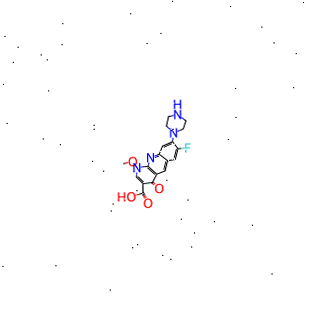 COn1cc(C(=O)O)c(=O)c2cc3cc(F)c(N4CCNCC4)cc3nc21